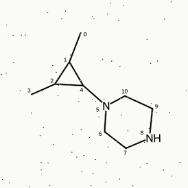 CC1C(C)C1N1CCNCC1